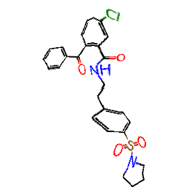 O=C(NCCc1ccc(S(=O)(=O)N2CCCC2)cc1)c1cc(Cl)ccc1C(=O)c1ccccc1